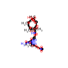 C=C1CC2CC[C@]34C[C@@H](O)C(O3)[C@H](OC)CC(O4)[C@@H]3CCCC(CC(=O)CC4[C@@H](OC)C(CC(O)CNC(=O)OCc5ccc(NC(=O)C(CCCNC(N)=O)NC(=O)[C@@H](NC(=O)CCOCCOCCN6C(=O)C=CC6=O)C(C)C)cc5)O[C@H]4CC4OC(CCC1O2)C[C@@H](C)C4=C)O3